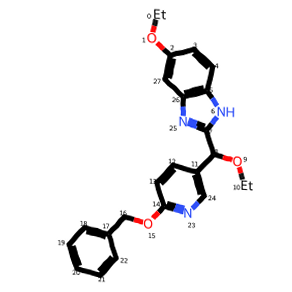 CCOc1ccc2[nH]c(C(OCC)c3ccc(OCc4ccccc4)nc3)nc2c1